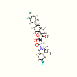 C[C@H](N(Cc1ccc(F)cc1)C(=O)CN1C(=O)O[C@@]2(CCc3cc(-c4ccc(F)c(F)c4)ccc32)C1=O)C(F)(F)F